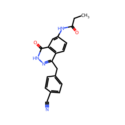 CCC(=O)Nc1ccc2c(Cc3ccc(C#N)cc3)n[nH]c(=O)c2c1